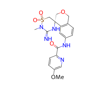 COc1ccc(C(=O)Nc2ccc3c(c2)[C@]2(COC3)CS(=O)(=O)N(C)C(=N)N2)nc1